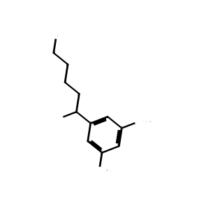 COc1cc(OC)cc(C([O])CCCCN)c1